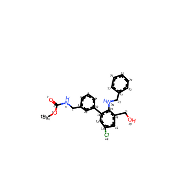 CC(C)(C)OC(=O)NCc1cccc(-c2cc(Cl)cc(CO)c2NCc2ccccc2)c1